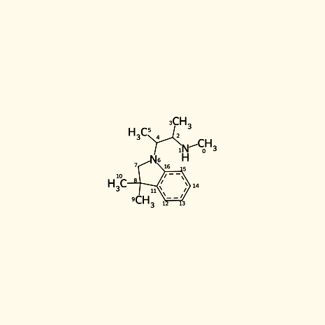 CNC(C)C(C)N1CC(C)(C)c2ccccc21